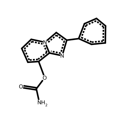 NC(=O)Oc1cccn2cc(-c3ccccc3)nc12